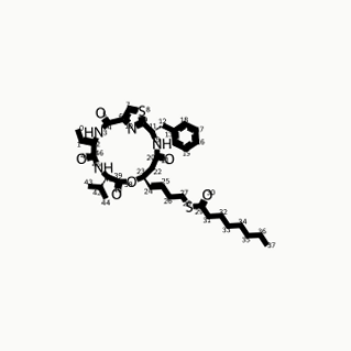 C/C=C1\NC(=O)c2csc(n2)[C@H](Cc2ccccc2)NC(=O)C[C@@H](/C=C/CCSC(=O)CCCCCCC)OC(=O)[C@H](C(C)C)NC1=O